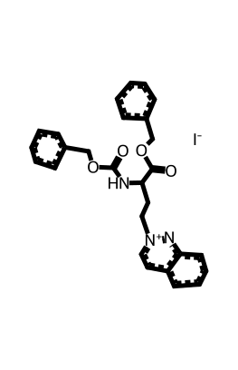 O=C(NC(CC[n+]1ccc2ccccc2n1)C(=O)OCc1ccccc1)OCc1ccccc1.[I-]